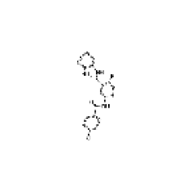 Nc1ncccc1NCc1cc(NC(=O)c2ccc(Cl)cc2)ccc1F